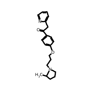 CC1CCCN1CCCOc1ccc(C(=O)Cc2ccccn2)cc1